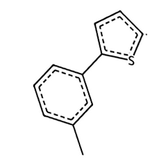 Cc1cccc(-c2cc[c]s2)c1